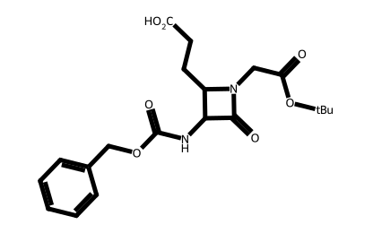 CC(C)(C)OC(=O)CN1C(=O)C(NC(=O)OCc2ccccc2)C1CCC(=O)O